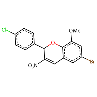 COc1cc(Br)cc2c1OC(c1ccc(Cl)cc1)C([N+](=O)[O-])=C2